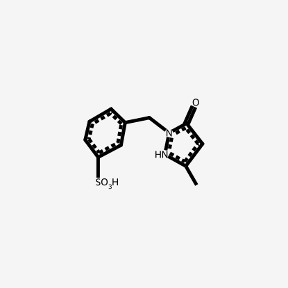 Cc1cc(=O)n(Cc2cccc(S(=O)(=O)O)c2)[nH]1